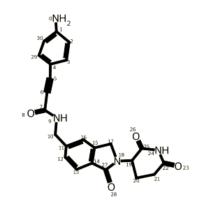 Nc1ccc(C#CC(=O)NCc2ccc3c(c2)CN(C2CCC(=O)NC2=O)C3=O)cc1